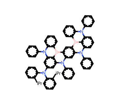 CC(C)c1ccccc1N(c1cc2c3c(c1)N(c1ccccc1)c1cc4c(cc1B3c1ccccc1N2c1ccccc1)B1c2ccccc2N(c2ccccc2)c2cccc(c21)N4c1ccccc1)c1ccccc1C(C)C